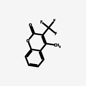 Cc1c(C(F)(F)F)c(=O)oc2ccccc12